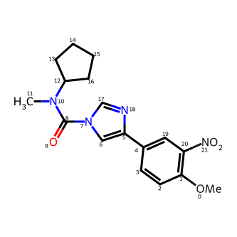 COc1ccc(-c2cn(C(=O)N(C)C3CCCC3)cn2)cc1[N+](=O)[O-]